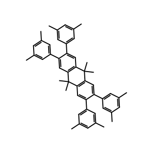 Cc1cc(C)cc(-c2cc3c(cc2-c2cc(C)cc(C)c2)C(C)(C)c2cc(-c4cc(C)cc(C)c4)c(-c4cc(C)cc(C)c4)cc2C3(C)C)c1